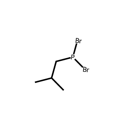 CC(C)CP(Br)Br